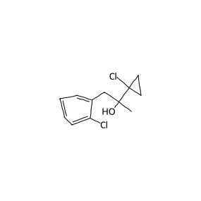 CC(O)(Cc1ccccc1Cl)C1(Cl)CC1